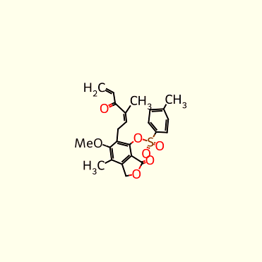 C=CC(=O)C(C)=CCc1c(OC)c(C)c2c(c1OS(=O)(=O)c1ccc(C)cc1)C(=O)OC2